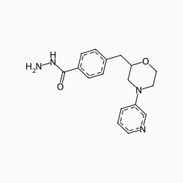 NNC(=O)c1ccc(CC2CN(c3cccnc3)CCO2)cc1